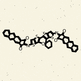 O=c1c(=Nc2cc3sc4c(c3s2)OC2(CCCCC2)c2c-4sc3cc(N=c4c(=O)c5cc6cc7ccccc7cc6cc5c4=O)sc23)c(=O)c2cc3cc4ccccc4cc3cc12